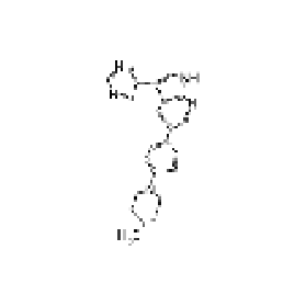 CN1CCN(c2ccc(-c3cnc4[nH]cc(-c5cncnc5)c4c3)cc2)CC1